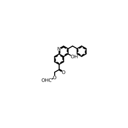 O=COCC(=O)c1ccc2ncc(Cc3ccccc3)c(O)c2c1